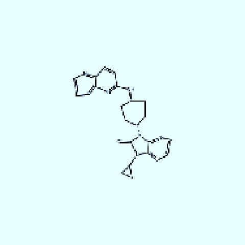 O=c1n(C2CC2)c2nccnc2n1[C@H]1CC[C@H](Nc2ccc3ncccc3n2)CC1